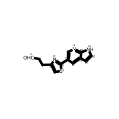 O=CCCc1csc(-c2cnc3[nH]ccc3c2)n1